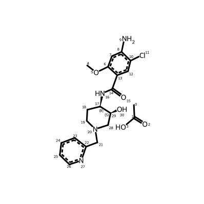 CC(=O)O.COc1cc(N)c(Cl)cc1C(=O)N[C@@H]1CCN(Cc2ccccn2)C[C@@H]1O